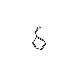 N=[C]c1ccccn1